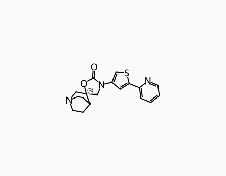 O=C1O[C@]2(CN3CCC2CC3)CN1c1csc(-c2ccccn2)c1